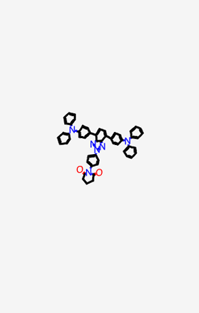 O=C1CCCC(=O)N1c1ccc(-n2nc3c(-c4ccc(N(c5ccccc5)c5ccccc5)cc4)ccc(-c4ccc(N(c5ccccc5)c5ccccc5)cc4)c3n2)cc1